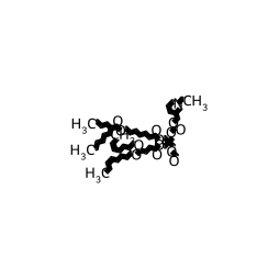 CC/C=C\CCCCOC(CCC(=O)OCC(COC=O)(COC(=O)CCCCCCOC(=O)C(CCCC)CCCCCC)COC(=O)OCC1CCCN(CC)C1)OCCCC/C=C\CC